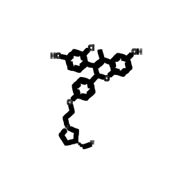 CC1=C(c2ccc(O)cc2Cl)C(c2ccc(OCCN3CC[C@@H](CF)C3)cc2)Oc2ccc(O)cc21